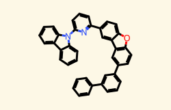 c1ccc(-c2cccc(-c3ccc4oc5ccc(-c6cccc(-n7c8ccccc8c8ccccc87)n6)cc5c4c3)c2)cc1